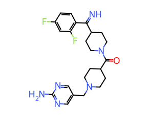 N=C(c1ccc(F)cc1F)C1CCN(C(=O)C2CCN(Cc3cnc(N)nc3)CC2)CC1